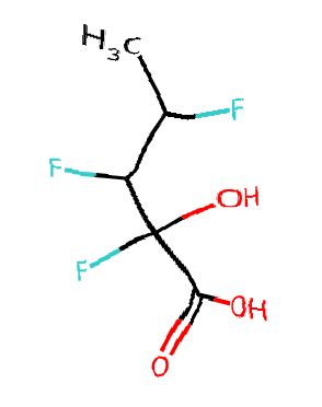 CC(F)C(F)C(O)(F)C(=O)O